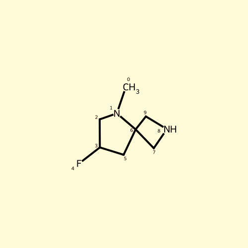 CN1CC(F)CC12CNC2